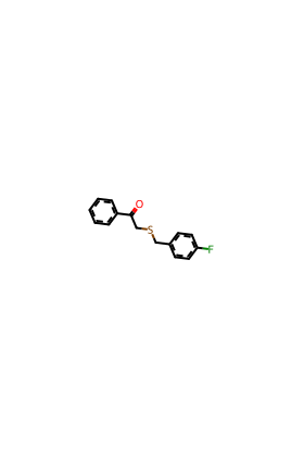 O=C(CSCc1ccc(F)cc1)c1ccccc1